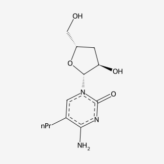 CCCc1cn([C@@H]2O[C@H](CO)C[C@H]2O)c(=O)nc1N